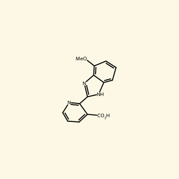 COc1cccc2[nH]c(-c3ncccc3C(=O)O)nc12